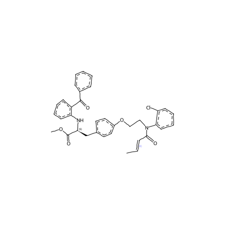 C/C=C/C(=O)N(CCOc1ccc(C[C@H](Nc2ccccc2C(=O)c2ccccc2)C(=O)OC)cc1)c1ccccc1Cl